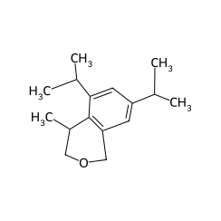 CC(C)c1cc2c(c(C(C)C)c1)C(C)COC2